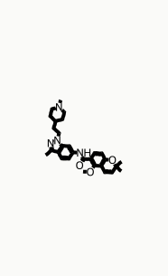 COc1c(C(=O)Nc2ccc3c(C)nn(CCC4CCN(C)CC4)c3c2)ccc2c1C=CC(C)(C)O2